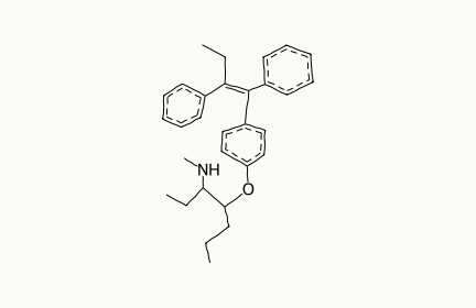 CCCC(Oc1ccc(C(=C(CC)c2ccccc2)c2ccccc2)cc1)C(CC)NC